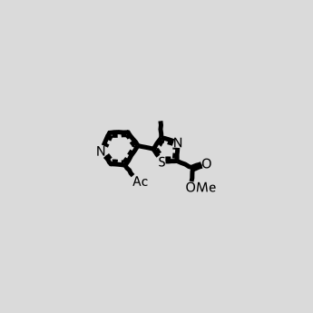 COC(=O)c1nc(C)c(-c2ccncc2C(C)=O)s1